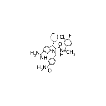 C[C@@H](NC(=O)C1C(C2CCCCCC2)c2ccc(C(=N)N)cc2N1Cc1ccc(C(N)=O)cc1)c1ccc(F)c(Cl)c1